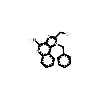 Nc1nc2ccccc2c2c1nc(CO)n2Cc1ccccc1